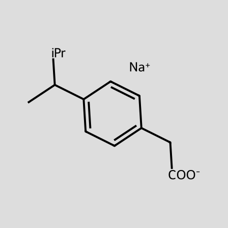 CC(C)C(C)c1ccc(CC(=O)[O-])cc1.[Na+]